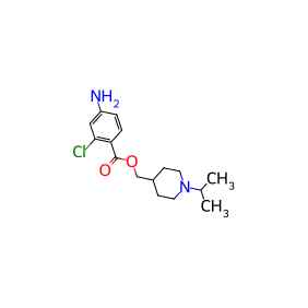 CC(C)N1CCC(COC(=O)c2ccc(N)cc2Cl)CC1